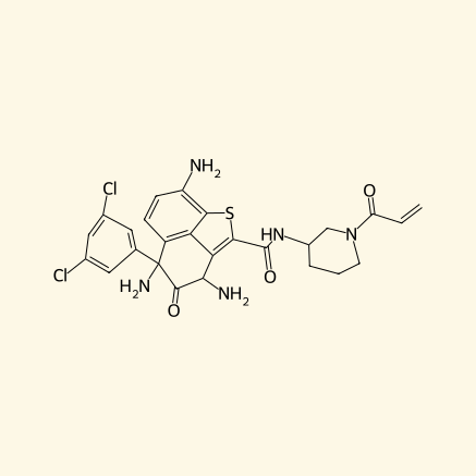 C=CC(=O)N1CCCC(NC(=O)c2sc3c(N)ccc4c3c2C(N)C(=O)C4(N)c2cc(Cl)cc(Cl)c2)C1